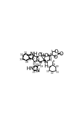 O=C1OCC([C@H](O)[C@H](CC2CCCCC2)NC(=O)[C@H](Cc2c[nH]cn2)N2Cc3c([nH]c4ccccc34)C2=O)O1